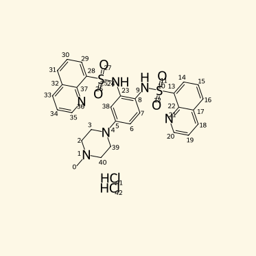 CN1CCN(c2ccc(NS(=O)(=O)c3cccc4cccnc34)c(NS(=O)(=O)c3cccc4cccnc34)c2)CC1.Cl.Cl